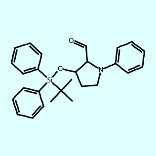 CC(C)(C)[Si](OC1CCN(c2ccccc2)C1C=O)(c1ccccc1)c1ccccc1